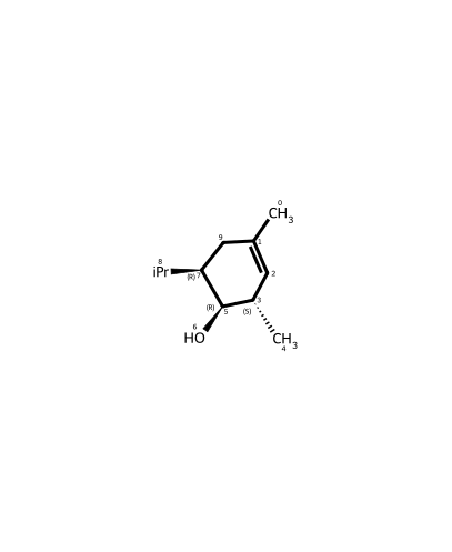 CC1=C[C@H](C)[C@@H](O)[C@@H](C(C)C)C1